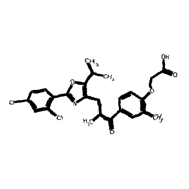 Cc1cc(C(=O)C(C)Cc2nc(-c3ccc(Cl)cc3Cl)oc2C(C)C)ccc1OCC(=O)O